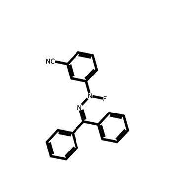 N#Cc1cccc(N(F)N=C(c2ccccc2)c2ccccc2)c1